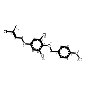 CCOc1ccc(COc2c(Cl)cc(OCC=C(Cl)Cl)cc2Cl)cc1